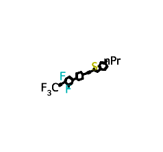 CCCc1ccc2cc(C#CC3CC=C(c4cc(F)c(C#CC(F)(F)F)c(F)c4)CC3)sc2c1